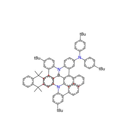 CC(C)(C)c1ccc(N(c2ccc(C(C)(C)C)cc2)c2ccc3c(c2)-c2c4c(cc5ccccc25)N(c2ccc(C(C)(C)C)cc2-c2ccccc2)c2cc5c(cc2B4N3c2ccc(C(C)(C)C)cc2-c2ccccc2)C(C)(C)c2ccccc2C5(C)C)cc1